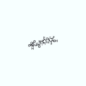 NC(Cc1cc(I)c(Oc2cc(I)c(O)c(I)c2)c(I)c1)C(=O)OCC1NC(=O)OC1=O